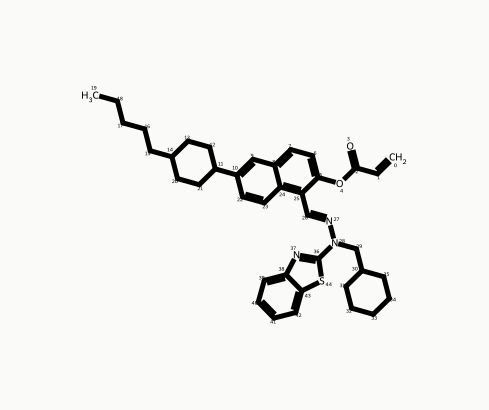 C=CC(=O)Oc1ccc2cc(C3CCC(CCCCC)CC3)ccc2c1/C=N/N(CC1CCCCC1)c1nc2ccccc2s1